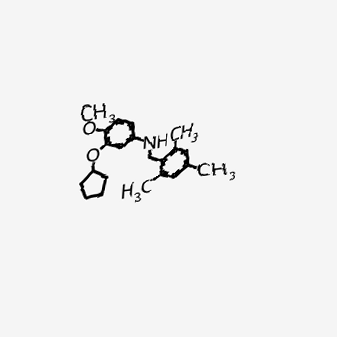 COc1ccc(NCc2c(C)cc(C)cc2C)cc1OC1CCCC1